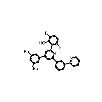 CC(C)(C)c1cc(-c2cc(-c3cccc(-c4ccccn4)c3)nc(-c3c(F)ccc(F)c3O)c2)cc(C(C)(C)C)c1